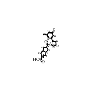 O=C(O)N1CC2CC(C(=O)N3N=CCC3c3cc(F)cc(F)c3)CC2C1